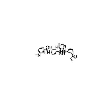 C=CC(=O)N1CC2CC(Nc3ncnc(N)c3C(=N)c3ccc(NC(=O)c4cccc(N(C)C)c4)cc3)C1C2